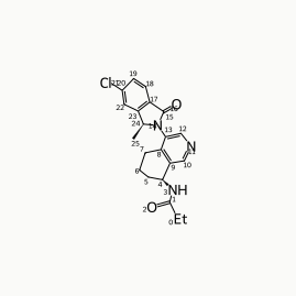 CCC(=O)N[C@H]1CCCc2c1cncc2N1C(=O)c2ccc(Cl)cc2[C@@H]1C